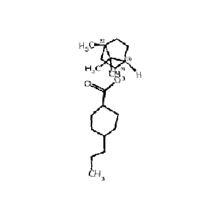 CCCC1CCC(C(=O)O[C@@H]2C[C@]3(C)CC[C@H]2C3(C)C)CC1